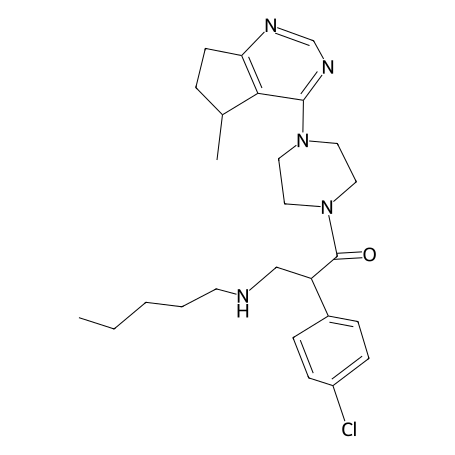 CCCCCNCC(C(=O)N1CCN(c2ncnc3c2C(C)CC3)CC1)c1ccc(Cl)cc1